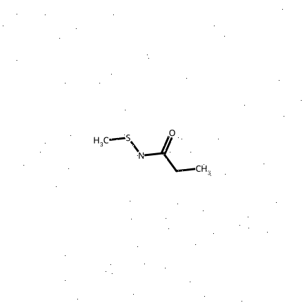 CCC(=O)[N]SC